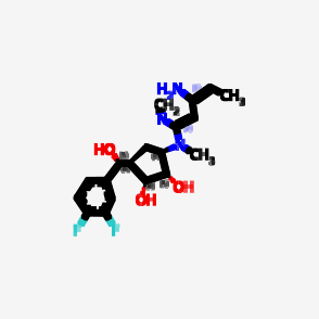 C=N/C(=C\C(N)=C/C)N(C)[C@@H]1C[C@H]([C@H](O)c2ccc(F)c(F)c2)[C@@H](O)[C@H]1O